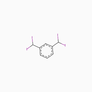 IC(I)c1cccc(C(I)I)c1